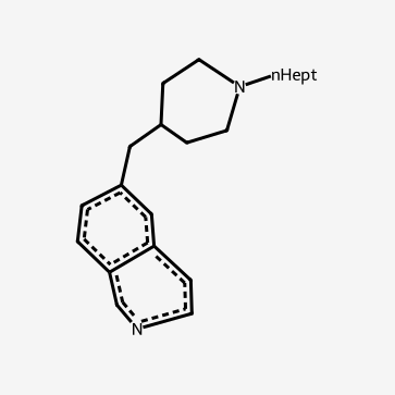 CCCCCCCN1CCC(Cc2ccc3cnccc3c2)CC1